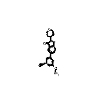 COc1cc(C#N)cc(-c2ccc3c(c2)C(=O)C(=C2CCOCC2)C3)c1